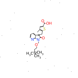 C[Si](C)(C)CCOCN1C(=O)[C@@]2(Cc3cc(C(=O)O)sc3C2)c2cccnc21